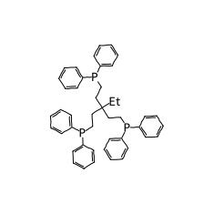 CCC(CCP(c1ccccc1)c1ccccc1)(CCP(c1ccccc1)c1ccccc1)CCP(c1ccccc1)c1ccccc1